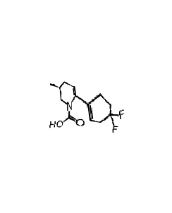 C[C@H]1CC=C(C2=CCC(F)(F)CC2)N(C(=O)O)C1